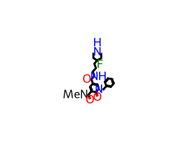 CNC(=O)c1cc(C(=O)NCCCC2(F)CCNCC2)cn(Cc2ccccc2)c1=O